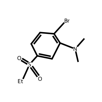 CCS(=O)(=O)c1ccc(Br)c(N(C)C)c1